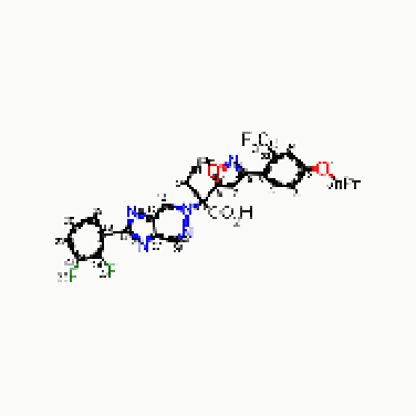 CCCOc1ccc(-c2cc(C(CC(C)C)(C(=O)O)n3cc4nc(-c5cccc(F)c5F)nc-4cn3)on2)c(C(F)(F)F)c1